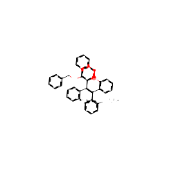 COc1ccccc1/C(=C(\c1ccccc1OC)c1ccccc1OCc1ccccc1)c1ccccc1OCc1ccccc1